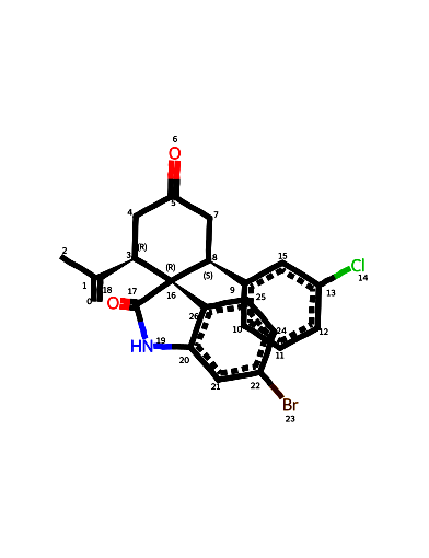 C=C(C)[C@H]1CC(=O)C[C@@H](c2cccc(Cl)c2)[C@]12C(=O)Nc1cc(Br)ccc12